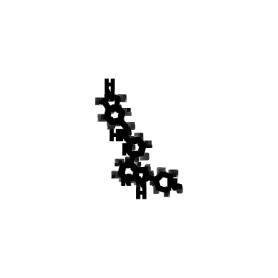 CN1CCC(c2cc3c(-c4cccc(NCc5ccc6c(c5)CNC6)n4)ccnc3[nH]2)CC1